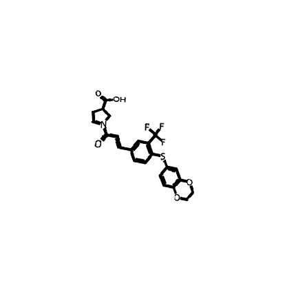 O=C(O)C1CCN(C(=O)C=Cc2ccc(Sc3ccc4c(c3)OCCO4)c(C(F)(F)F)c2)C1